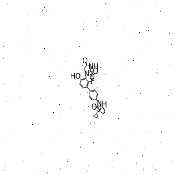 O=C1CN(c2c(O)ccc(-c3ccc(NS(=O)(=O)C4CC4)cc3)c2F)S(=O)(=O)N1